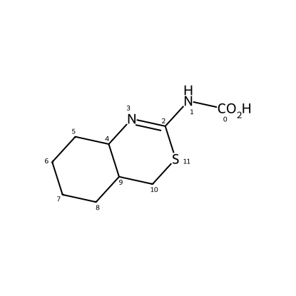 O=C(O)NC1=NC2CCCCC2CS1